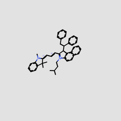 CC(C)CC[N+]1=C(/C=C/C=C2/N(C)c3ccccc3C2(C)C)C(C(Cc2ccccc2)c2ccccc2)c2c1ccc1ccccc21